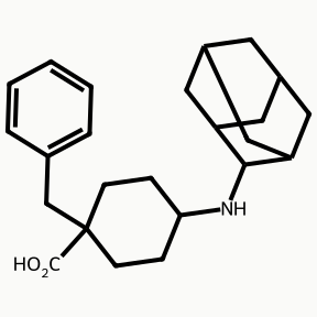 O=C(O)C1(Cc2ccccc2)CCC(NC2C3CC4CC(C3)CC2C4)CC1